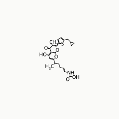 CC(=Cc1ccc(CC2CC2)s1)C(=O)c1c(O)cc(C(C)CC/C=C/NC(=O)O)oc1=O